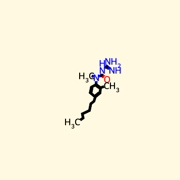 CCCCCCc1ccc(N(C)C(=O)NC(=N)N)c(C)c1